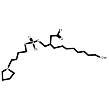 CCCCCCCCCCCCCCCCCCC(COP(=O)(O)OCCCCN1CCCC1)CC(=O)CC